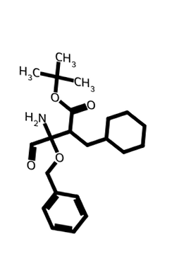 CC(C)(C)OC(=O)C(CC1CCCCC1)C(N)(C=O)OCc1ccccc1